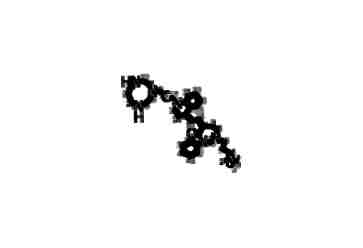 C[N+](C)(C)CCCN1CC/C(=C/C=C2/C=CN(CCCN3CCNCCCNCC3)c3ccccc32)c2oc3ccccc3[n+]2C1